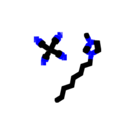 CCCCCCCCn1cc[n+](C)c1.N#C[B-](C#N)(C#N)C#N